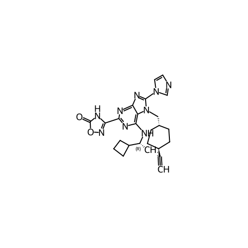 C#C[C@H]1CC[C@H](Cn2c(-n3ccnc3)nc3nc(-c4noc(=O)[nH]4)nc(N[C@H](C)C4CCC4)c32)CC1